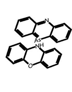 c1ccc2c(c1)N=c1ccccc1=[As]2.c1ccc2c(c1)Nc1ccccc1O2